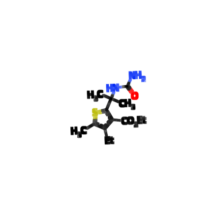 CCOC(=O)c1c(C(C)(C)NC(N)=O)sc(C)c1CC